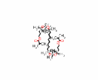 C=C(C)C(=O)OCCC[Si](C)(C)O[Si](C)(C)O[Si](C)(C)CCCCCCCC[Si](C)(C)O[Si](C)(C)O[Si](C)(C)CCCOC(=O)C(=C)C